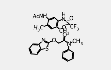 CC(=O)Nc1cc(NS(=O)(=O)C(F)(F)F)c(C)cc1C.CN(C(=O)COc1nc2ccccc2s1)c1ccccc1